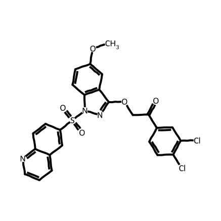 COc1ccc2c(c1)c(OCC(=O)c1ccc(Cl)c(Cl)c1)nn2S(=O)(=O)c1ccc2ncccc2c1